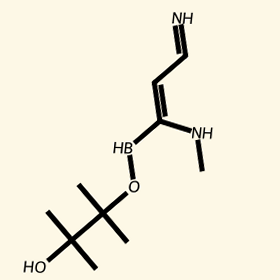 CN/C(BOC(C)(C)C(C)(C)O)=C\C=N